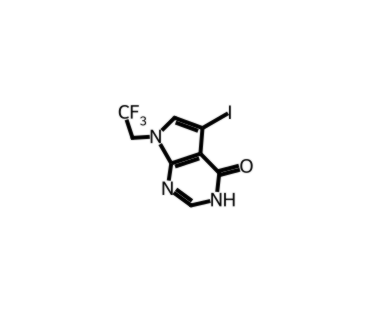 O=c1[nH]cnc2c1c(I)cn2CC(F)(F)F